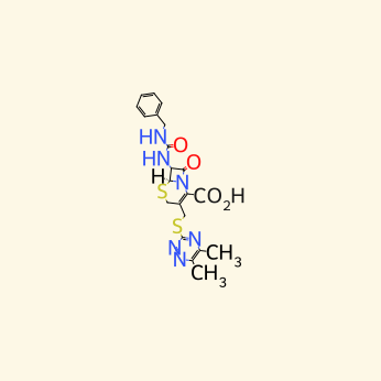 Cc1nnc(SCC2=C(C(=O)O)N3C(=O)C(NC(=O)NCc4ccccc4)[C@@H]3SC2)nc1C